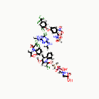 CC1COc2ccccc2N1C(=O)C(Cl)Cl.CCNc1nc(Cl)nc(NC(C)C)n1.CCc1cccc(C)c1N(C(=O)CCl)C(C)COC.CS(=O)(=O)NC(=O)c1cc(Oc2ccc(C(F)(F)F)cc2Cl)ccc1[N+](=O)[O-].C[S+](C)C.O=C(O)CNCP(=O)([O-])O